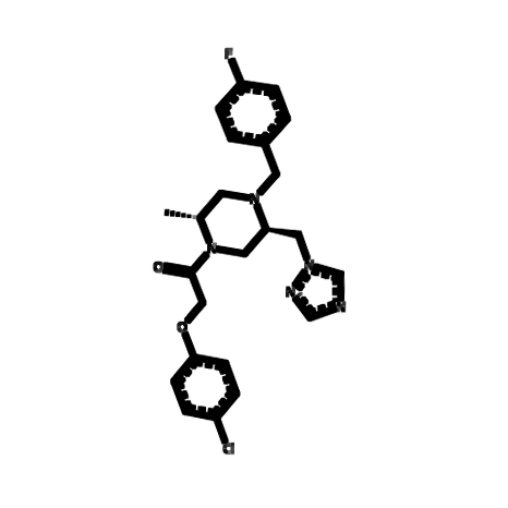 C[C@@H]1CN(Cc2ccc(F)cc2)[C@@H](Cn2cncn2)CN1C(=O)COc1ccc(Cl)cc1